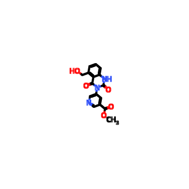 COC(=O)c1cncc(-n2c(=O)[nH]c3cccc(CO)c3c2=O)c1